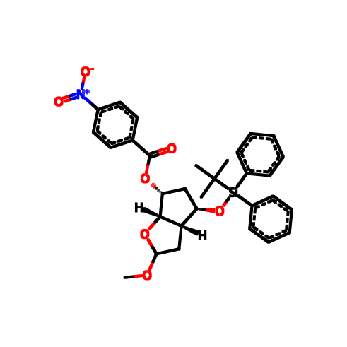 COC1C[C@@H]2[C@H](O1)[C@H](OC(=O)c1ccc([N+](=O)[O-])cc1)C[C@H]2O[Si](c1ccccc1)(c1ccccc1)C(C)(C)C